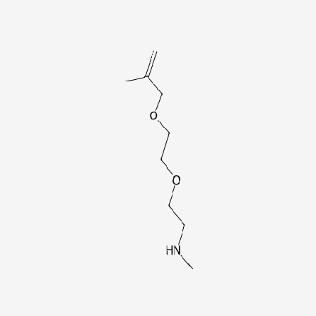 C=C(C)COCCOCCNC